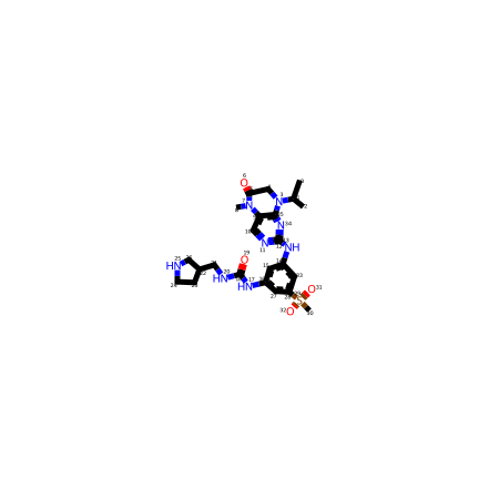 CC(C)N1CC(=O)N(C)c2cnc(Nc3cc(NC(=O)NCC4CCNC4)cc(S(C)(=O)=O)c3)nc21